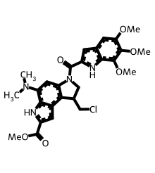 COC(=O)c1cc2c3c(cc(N(C)C)c2[nH]1)N(C(=O)c1cc2cc(OC)c(OC)c(OC)c2[nH]1)CC3CCl